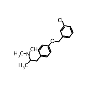 CC(Cc1ccc(OCc2cccc(Cl)c2)cc1)N(C)C